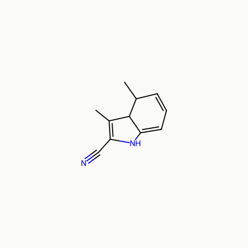 CC1=C(C#N)NC2=CC=CC(C)C21